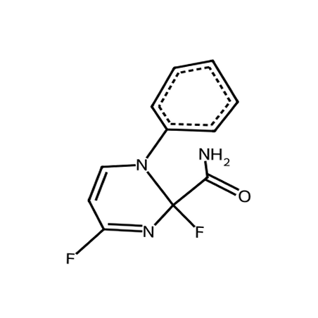 NC(=O)C1(F)N=C(F)C=CN1c1ccccc1